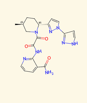 C[C@H]1CC[C@H](c2ccn(-c3cc[nH]n3)n2)N(C(=O)C(=O)Nc2ncccc2C(N)=O)C1